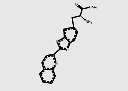 COC(=O)[C@@H](N)Cc1ccc2oc(-c3ccc4ccccc4n3)nc2c1